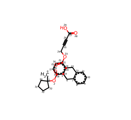 CC1(OC(=O)C2C3c4ccccc4C(c4ccccc43)C2C(=O)OCC#CC(=O)O)CCCC1